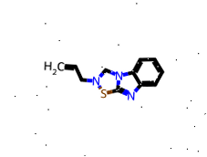 C=CCN1Cn2c(nc3ccccc32)S1